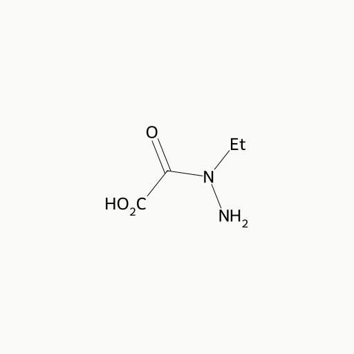 CCN(N)C(=O)C(=O)O